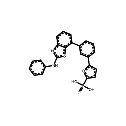 O=P(O)(O)c1ccc(-c2cccc(-c3cccc4nc(Nc5ccccc5)sc34)c2)o1